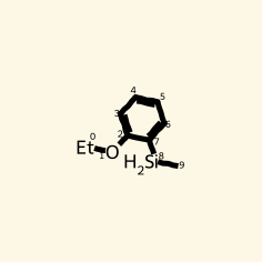 CCOc1ccccc1[SiH2]C